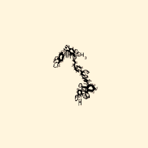 COc1cc2ncnc(Nc3ccc(F)c(Cl)c3)c2cc1OCCCN1CCN(C(=O)COCCSc2cccc3c2C(=O)N(C2CCC(=O)NC2=O)C3=O)CC1